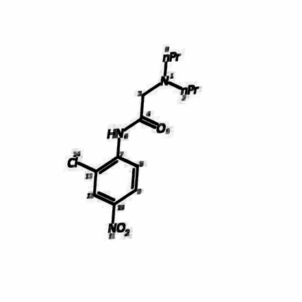 CCCN(CCC)CC(=O)Nc1ccc([N+](=O)[O-])cc1Cl